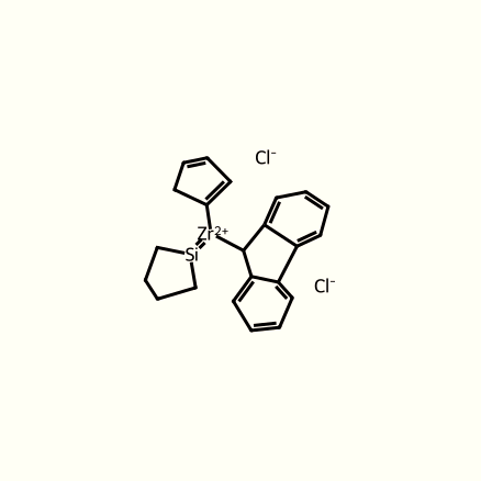 C1=CC[C]([Zr+2]([CH]2c3ccccc3-c3ccccc32)=[Si]2CCCC2)=C1.[Cl-].[Cl-]